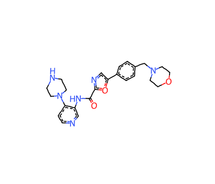 O=C(Nc1cnccc1N1CCNCC1)c1ncc(-c2ccc(CN3CCOCC3)cc2)o1